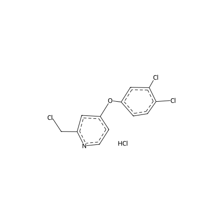 Cl.ClCc1cc(Oc2ccc(Cl)c(Cl)c2)ccn1